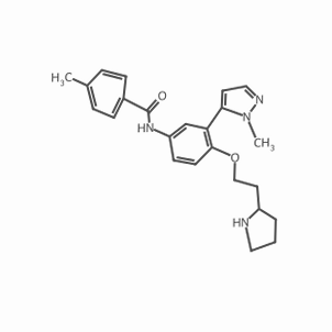 Cc1ccc(C(=O)Nc2ccc(OCCC3CCCN3)c(-c3ccnn3C)c2)cc1